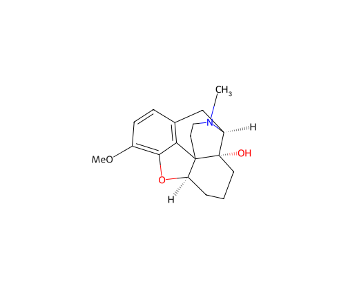 COc1ccc2c3c1O[C@@H]1CCC[C@]4(O)[C@H](C2)N(C)CCC314